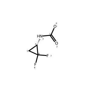 [O]C(=O)N[C@H]1CC1(F)F